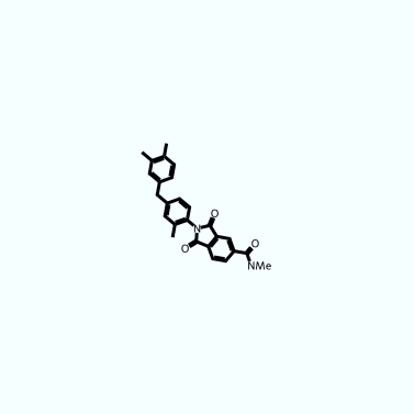 CNC(=O)c1ccc2c(c1)C(=O)N(c1ccc(Cc3ccc(C)c(C)c3)cc1C)C2=O